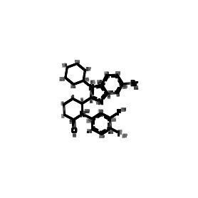 O=C1CCCC(c2nc3cc(Br)ccc3n2C2CCCCC2)N1c1ccc(F)c(F)c1